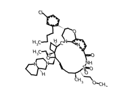 CCCCc1cc(Cl)ccc1[C@@H]1COc2ccc3nc2N(C1)C[C@@H]1CC[C@H]1[C@@](CN1CCN2CCCC[C@@H]2C1)(OCC)/C=C/C[C@H](C)[C@@H](CCOC)S(=O)(=O)NC3=O